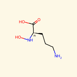 NCCC[C@@H](NO)C(=O)O